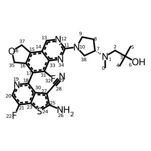 CN(CC(C)(C)O)[C@H]1CCN(c2ncc3c4c(c(-c5ncc(F)c6sc(N)c(C#N)c56)c(F)c3n2)COC4)C1